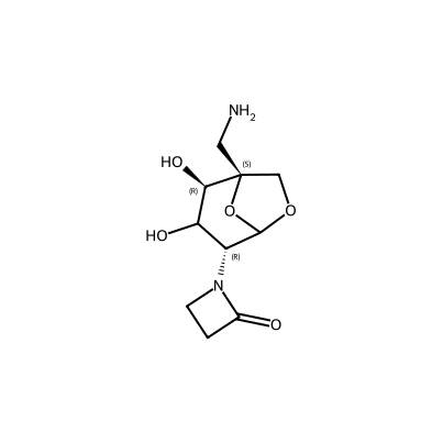 NC[C@@]12COC(O1)[C@H](N1CCC1=O)C(O)[C@H]2O